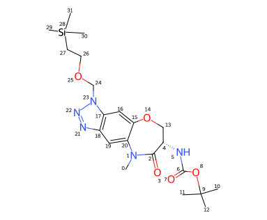 CN1C(=O)[C@@H](NC(=O)OC(C)(C)C)COc2cc3c(cc21)nnn3COCC[Si](C)(C)C